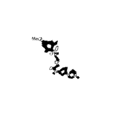 COc1cc(C)c(S(=O)(=O)N(C)CCOCC(=O)N(C)C2CCC(N3CCN(C)CC3)C2)c(C)c1